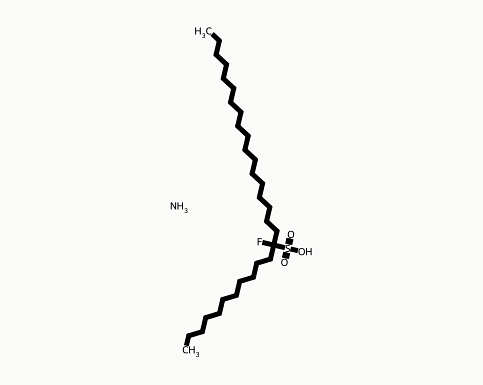 CCCCCCCCCCCCCCCCCCC(F)(CCCCCCCCCCC)S(=O)(=O)O.N